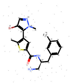 Cc1sc(C(=O)N[C@H](CN)Cc2cccc(C(F)(F)F)c2)cc1-c1c(Br)cnn1C